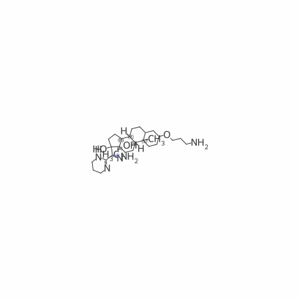 C[C@]12CCC(OCCCN)CC1CC[C@@H]1[C@H]2CC[C@]2(C)C(O)(/C(=N\N)C3=NCCCN3)CC[C@@]12O